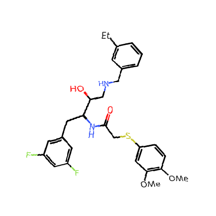 CCc1cccc(CNCC(O)C(Cc2cc(F)cc(F)c2)NC(=O)CSc2ccc(OC)c(OC)c2)c1